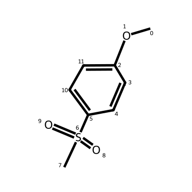 COc1[c]cc(S(C)(=O)=O)cc1